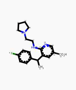 CC(c1ccc(F)cc1)c1cc(C(=O)O)cnc1NCCN1CCCC1